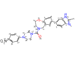 Cc1nc2ccc(-c3ccc4c(c3)CN(C(=O)N3CCN(c5ccc([N+](=O)[O-])cc5)CC3)CCO4)cc2[nH]1